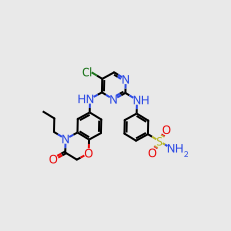 CCCN1C(=O)COc2ccc(Nc3nc(Nc4cccc(S(N)(=O)=O)c4)ncc3Cl)cc21